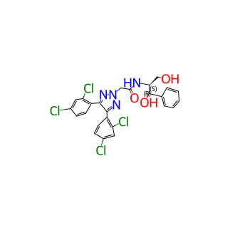 O=C(Cn1nc(-c2ccc(Cl)cc2Cl)c(-c2ccc(Cl)cc2Cl)n1)N[C@@H](CO)[C@H](O)c1ccccc1